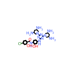 NC1CC(N)CN(c2nc(Nc3ccc(NC(=O)c4ccc(Cl)cc4O)c(O)c3)nc(N3CC(N)CC(N)C3)n2)C1